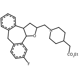 CCOC(=O)CC1CCN(CC2CC3c4ccccc4Cc4ccc(F)cc4C3O2)CC1